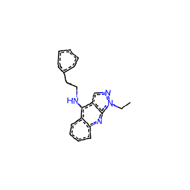 CCn1ncc2c(NCCc3ccccc3)c3ccccc3nc21